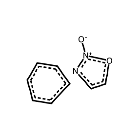 [O-][n+]1ncco1.c1ccccc1